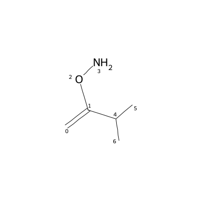 C=C(ON)C(C)C